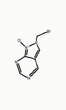 [O-][n+]1c2ncncc2cn1CBr